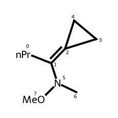 CCCC(=C1CC1)N(C)OC